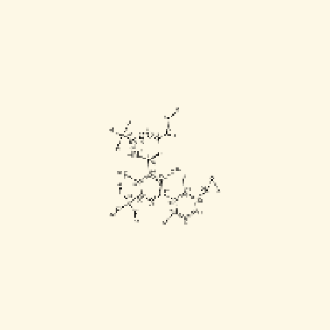 CCOC(=O)C[C@H](N[S@+]([O-])C(C)(C)C)c1c(F)c(-c2c(C)ccc(C3CC3)c2C)cc(C(F)(F)F)c1F